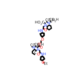 CCOc1ccc(NC(=O)CN(CC(=O)OCCOc2ccc(NC(=O)CN(CC(=O)O)[C@@H]3CCCC[C@H]3N(CC(=O)O)CC(=O)O)cc2)[C@H]2CCCC[C@@H]2N(CC(=O)O)CC(=O)O)cc1